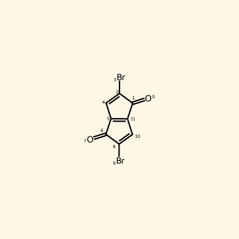 O=c1c(Br)cc2c(=O)c(Br)cc1=2